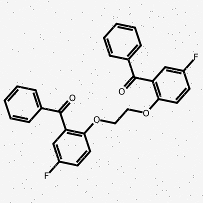 O=C(c1ccccc1)c1cc(F)ccc1OCCOc1ccc(F)cc1C(=O)c1ccccc1